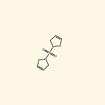 O=S(=O)(N1CC=CO1)N1CC=CO1